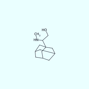 CNC(CO)C12CC3CC(CC(C3)C1)C2